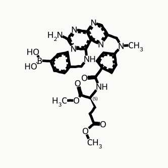 COC(=O)CC[C@H](NC(=O)c1ccc(N(C)Cc2cnc3nc(N)nc(NCc4ccc(B(O)O)cc4)c3n2)cc1)C(=O)OC